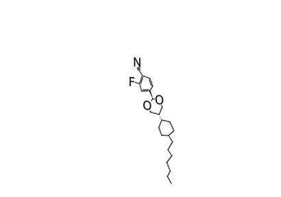 CCCCCCCC1CCC([C@H]2CO[C@H](c3ccc(C#N)c(F)c3)OC2)CC1